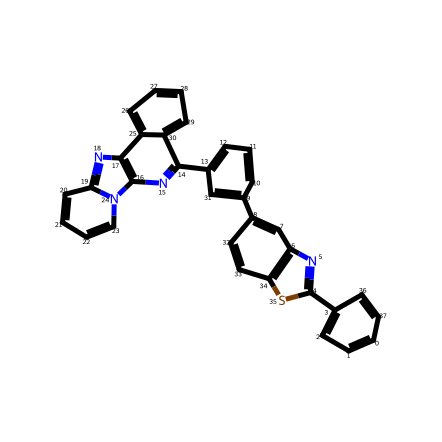 c1ccc(-c2nc3cc(-c4cccc(-c5nc6c(nc7ccccn76)c6ccccc56)c4)ccc3s2)cc1